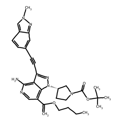 C=C(OCCCC)c1cnc(N)c2c(C#Cc3ccc4cn(C)nc4c3)nn([C@H]3CCN(C(=O)OC(C)(C)C)C3)c12